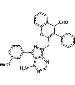 COc1cccc(-c2nn(CC3=C(c4ccccc4)C(C=O)c4ccccc4O3)c3ncnc(N)c23)c1